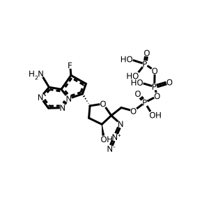 [N-]=[N+]=NC1(COP(=O)(O)OP(=O)(O)OP(=O)(O)O)O[C@@H](c2cc(F)c3c(N)ncnn23)C[C@@H]1O